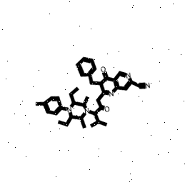 CCC1C(C)N(C(C(=O)CC2=Nc3cc(C#N)ncc3C(=O)C2Cc2ccccc2)C(C)C)C(C)C(CC)N1c1ccc(C)cc1